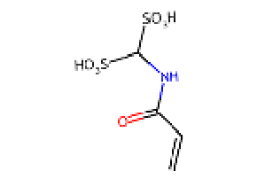 C=CC(=O)NC(S(=O)(=O)O)S(=O)(=O)O